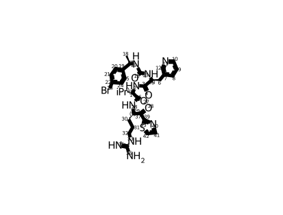 CC(C)[C@H](NC(=O)[C@H](Cc1cccnc1)NC(=O)N[C@H](C)c1ccc(Br)cc1)C(=O)N[C@@H](CCCNC(=N)N)C(=O)c1nccs1